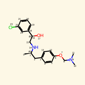 C[C@H](Cc1ccc(OCN(C)C)cc1)NC[C@H](O)c1cccc(Cl)c1